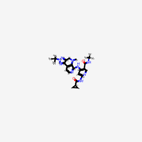 [2H]C([2H])([2H])NC(=O)c1cnc(NC(=O)C2CC2)cc1Nc1nccc2c1N(C)Cc1nn(C([2H])([2H])[2H])nc1-2